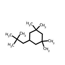 CC(C)(C)CC1CC(C)(C)CC(C)(C)C1